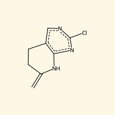 C=C1CCc2cnc(Cl)nc2N1